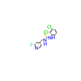 Fc1cc(CNC(=S)Nc2cccc(Cl)c2Cl)ccn1